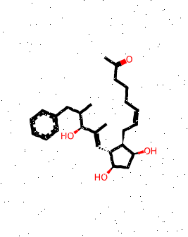 CC(=O)CCC/C=C\C[C@@H]1[C@@H](/C=C(\C)[C@@H](O)C(C)Cc2ccccc2)[C@H](O)C[C@@H]1O